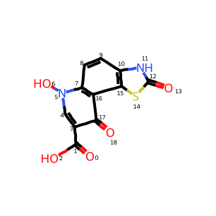 O=C(O)c1cn(O)c2ccc3[nH]c(=O)sc3c2c1=O